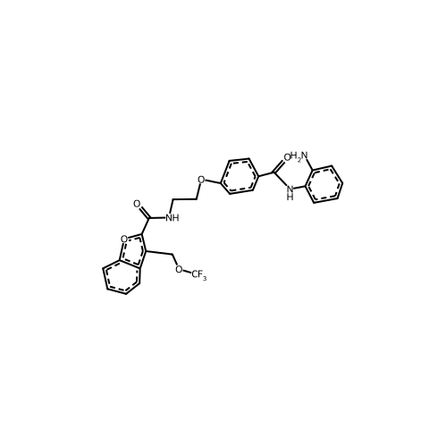 Nc1ccccc1NC(=O)c1ccc(OCCNC(=O)c2oc3ccccc3c2COC(F)(F)F)cc1